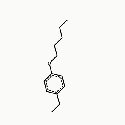 [CH2]Cc1ccc(OCCCCC)cc1